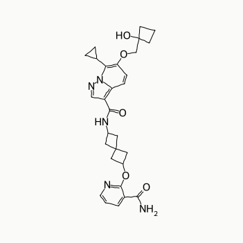 NC(=O)c1cccnc1OC1CC2(CC(NC(=O)c3cnn4c(C5CC5)c(OCC5(O)CCC5)ccc34)C2)C1